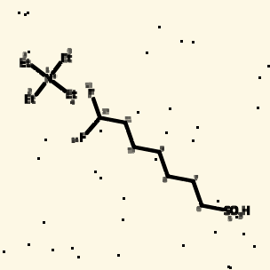 CC[N+](CC)(CC)CC.O=S(=O)(O)CCCCCCC(F)F